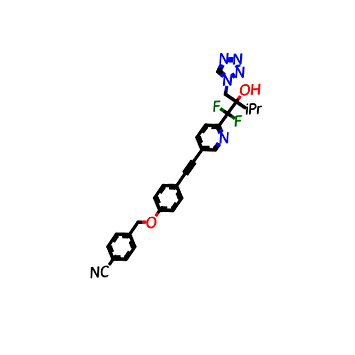 CC(C)C(O)(Cn1cnnn1)C(F)(F)c1ccc(C#Cc2ccc(OCc3ccc(C#N)cc3)cc2)cn1